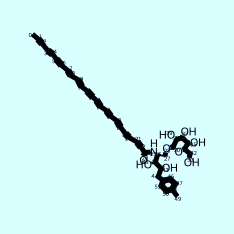 CC#CC#CC#CC#CC#CC#CC#CC#CC#CC#CC#CC(=O)N[C@@H](COC1OC(CO)C(O)C(O)C1O)[C@H](O)[C@H](O)Cc1ccc(C)cc1